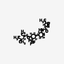 Cc1cc(C(=O)Nc2cc(-c3ccc(OC[C@H](C)CC(C)C)c(C(F)(F)F)c3)ccn2)no1